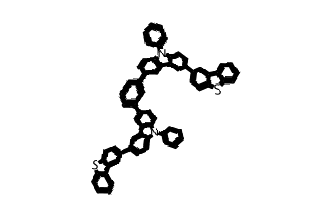 c1ccc(-n2c3ccc(-c4cccc(-c5ccc6c(c5)c5cc(-c7ccc8sc9ccccc9c8c7)ccc5n6-c5ccccc5)c4)cc3c3cc(-c4ccc5sc6ccccc6c5c4)ccc32)cc1